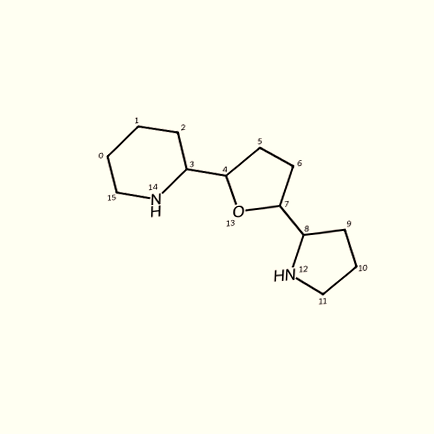 C1CCC(C2CCC(C3CCCN3)O2)NC1